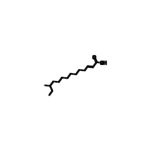 CCC(C)CCCCCCCC/C=C/C(=O)O